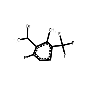 Cc1c(C(F)(F)F)ccc(F)c1C(C)Br